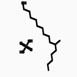 CCCCCC(C)CCCCCCCCCO.O=S(=O)(O)O